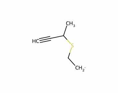 C#CC(C)SC[CH2]